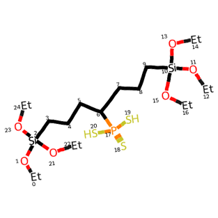 CCO[Si](CCCC(CCC[Si](OCC)(OCC)OCC)P(=S)(S)S)(OCC)OCC